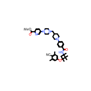 COC(=O)c1ccc(N2CCN(CC3CCN(c4ccc(C(=O)NC5(C)CC(C)(Oc6cc(C)c(C#N)c(C)c6)C5(C)C)cc4)CC3)CC2)cn1